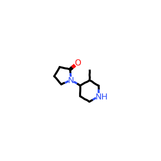 CC1CNCCC1N1CCCC1=O